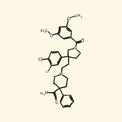 COc1cc(OC)cc(C(=O)N2CCC(CCN3CCC(C(N)=O)(c4ccccc4)CC3)(c3ccc(Cl)c(Cl)c3)C2)c1